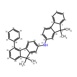 CC1(C)c2ccccc2-c2ccc(Nc3ccc4c(c3)C(C)(C)c3cccc(-c5ccccc5)c3-4)cc21